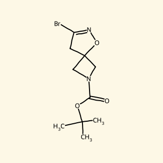 CC(C)(C)OC(=O)N1CC2(CC(Br)=NO2)C1